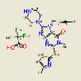 CC#CCn1c(N2CCNCC2)nc2nc(Sc3nc(C)cs3)n(C)c(=O)c21.O=C(O)C(F)(F)F